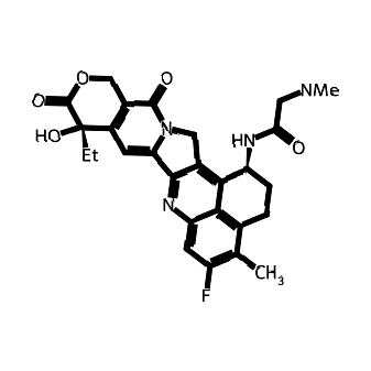 CC[C@@]1(O)C(=O)OCc2c1cc1n(c2=O)Cc2c-1nc1cc(F)c(C)c3c1c2[C@@H](NC(=O)CNC)CC3